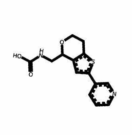 O=C(O)NCC1OCCc2sc(-c3cccnc3)cc21